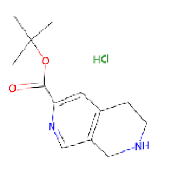 CC(C)(C)OC(=O)c1cc2c(cn1)CNCC2.Cl